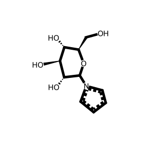 OC[C@H]1OC(n2cccc2)[C@H](O)[C@@H](O)[C@@H]1O